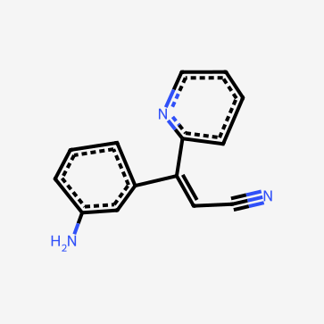 N#CC=C(c1cccc(N)c1)c1ccccn1